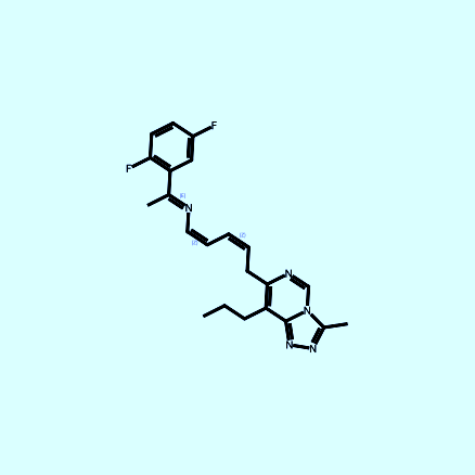 CCCc1c(C\C=C/C=C\N=C(/C)c2cc(F)ccc2F)ncn2c(C)nnc12